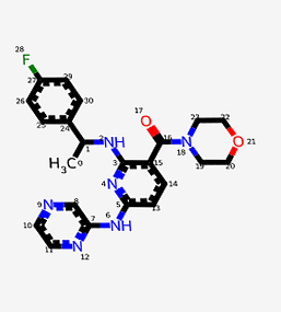 CC(Nc1nc(Nc2cnccn2)ccc1C(=O)N1CCOCC1)c1ccc(F)cc1